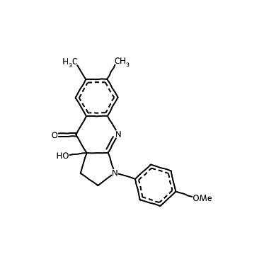 COc1ccc(N2CCC3(O)C(=O)c4cc(C)c(C)cc4N=C23)cc1